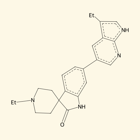 CCc1c[nH]c2ncc(-c3ccc4c(c3)NC(=O)C43CCN(CC)CC3)cc12